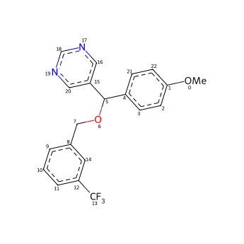 COc1ccc(C(OCc2cccc(C(F)(F)F)c2)c2cncnc2)cc1